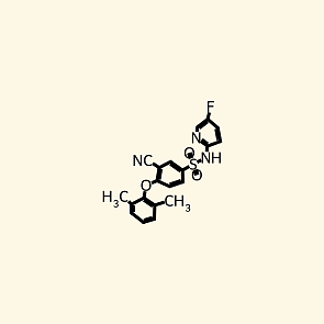 Cc1cccc(C)c1Oc1ccc(S(=O)(=O)Nc2ccc(F)cn2)cc1C#N